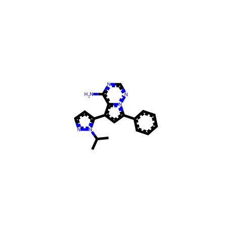 CC(C)n1nccc1-c1cc(-c2ccccc2)n2ncnc(N)c12